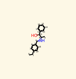 CCc1ccc(CNC(C)[C@@H](O)c2ccccc2)cc1